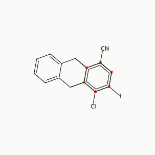 N#Cc1cc(I)c(Cl)c2c1C1c3ccccc3C2c2ccccc21